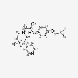 C[C@@H](C(=O)Nc1ccc(OCC2CC2)cn1)N1CCC(F)(F)[C@@H](c2ccncc2)C1